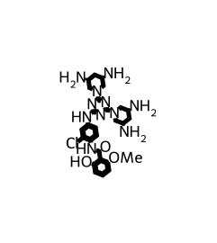 COc1cccc(O)c1C(=O)Nc1ccc(Nc2nc(N3C[C@H](N)C[C@H](N)C3)nc(N3C[C@H](N)C[C@H](N)C3)n2)cc1Cl